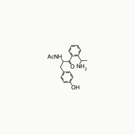 CC(=O)NC(Cc1ccc(O)cc1)C(=O)c1ccccc1C(C)N